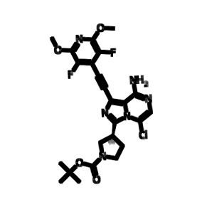 COc1nc(OC)c(F)c(C#Cc2nc([C@H]3CCN(C(=O)OC(C)(C)C)C3)n3c(Cl)cnc(N)c23)c1F